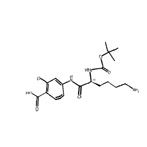 CC(C)(C)OC(=O)N[C@@H](CCCCN)C(=O)Nc1ccc(C(=O)O)c(Cl)c1